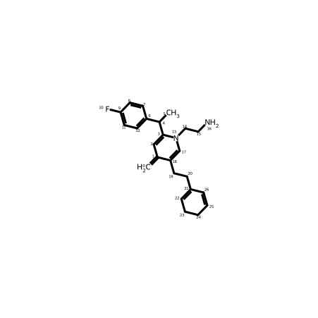 C=C1C=C(C(C)c2ccc(F)cc2)N(CCN)C=C1CCC1=CCCC=C1